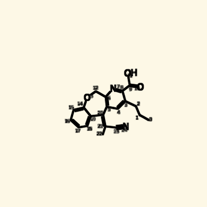 CCCc1cc2c(nc1C(=O)O)COc1ccccc1C2=C(C)C#N